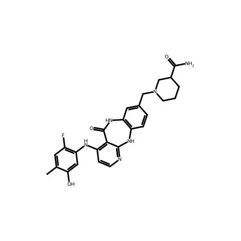 Cc1cc(F)c(Nc2ccnc3c2C(=O)Nc2cc(CN4CCCC(C(N)=O)C4)ccc2N3)cc1O